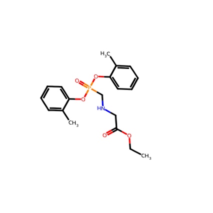 CCOC(=O)CNCP(=O)(Oc1ccccc1C)Oc1ccccc1C